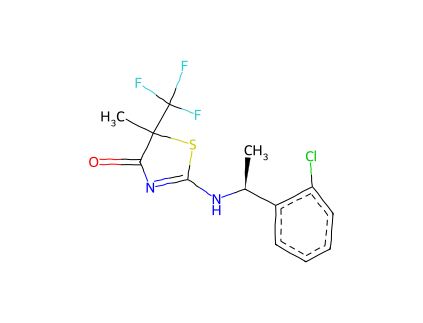 C[C@H](NC1=NC(=O)C(C)(C(F)(F)F)S1)c1ccccc1Cl